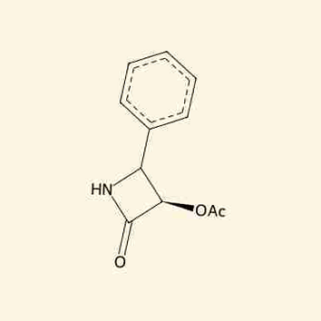 CC(=O)O[C@H]1C(=O)NC1c1ccccc1